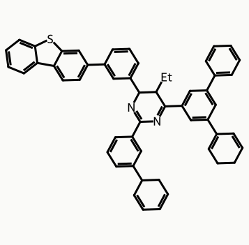 CCC1C(c2cc(C3=CCCC=C3)cc(-c3ccccc3)c2)=NC(c2cccc(C3C=CC=CC3)c2)=NC1c1cccc(-c2ccc3c(c2)sc2ccccc23)c1